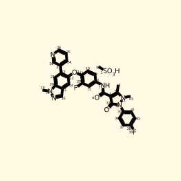 CS(=O)(=O)O.Cc1c(C(=O)Nc2ccc(Oc3cc4cnn(C)c4cc3-c3cccnc3)c(F)c2)c(=O)n(-c2ccc(F)cc2)n1C